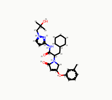 Cc1cccc(OC2=CC(=O)N(C(CC3CCCCC3)C(=O)Nc3ccn(CC(C)(C)O)n3)C2)c1